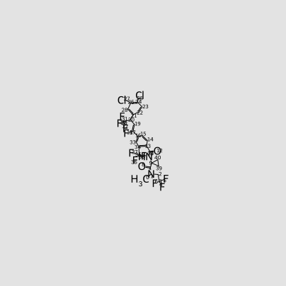 CN(CC(F)(F)F)C(=O)C1(NC(=O)c2ccc(C(F)=CC(c3ccc(Cl)c(Cl)c3)C(F)(F)F)cc2C(F)(F)F)CC1